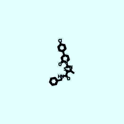 Cc1nc(-n2ccc(-c3ccc(Cl)cc3)cc2=O)sc1C(=O)NCc1ccccc1